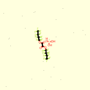 O=C(OC(F)(F)C(F)(F)C(F)(F)C(F)(F)F)C(=O)OC(F)(F)C(F)(F)C(F)(F)C(F)(F)F.OB(O)O